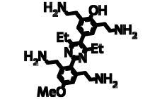 CCc1nc(-c2c(CCN)cc(OC)cc2CCN)nc(CC)c1-c1cc(CCN)c(O)c(CCN)c1